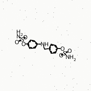 NS(=O)(=O)Oc1ccc(CNc2ccc(OS(N)(=O)=O)cc2)cc1